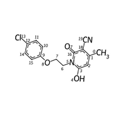 Cc1cc(O)n(CCOc2ccc(Cl)cc2)c(=O)c1C#N